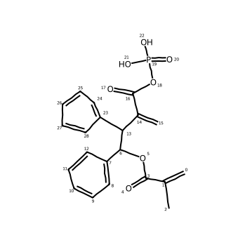 C=C(C)C(=O)OC(c1ccccc1)C(C(=C)C(=O)OP(=O)(O)O)c1ccccc1